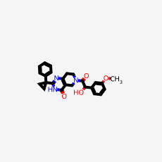 COc1cccc(C(O)C(=O)N2CCc3nc(C4(c5ccccc5)CC4)[nH]c(=O)c3C2)c1